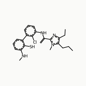 C=C(Nc1cccc(-c2cccc(NC)c2S)c1Cl)c1nc(CC)c(CCC)n1C